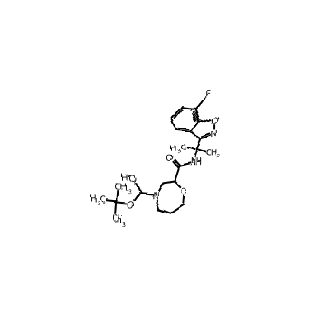 CC(C)(C)OC(O)N1CCCOC(C(=O)NC(C)(C)c2noc3c(F)cccc23)C1